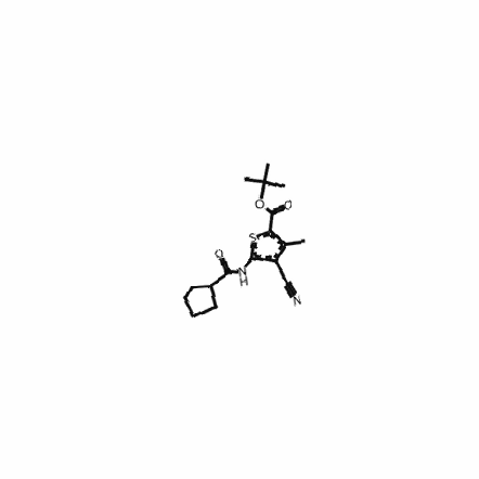 Cc1c(C(=O)OC(C)(C)C)sc(NC(=O)C2CCCC2)c1C#N